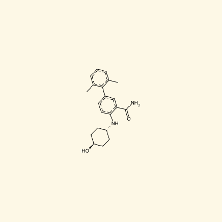 Cc1cccc(C)c1-c1ccc(N[C@H]2CC[C@H](O)CC2)c(C(N)=O)c1